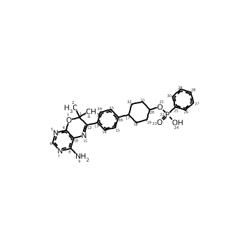 CC1(C)Oc2ncnc(N)c2N=C1c1ccc(C2CCC(OP(=O)(O)c3ccccc3)CC2)cc1